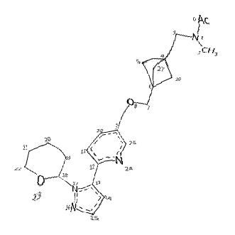 CC(=O)N(C)CC12CC(COc3ccc(-c4ccnn4C4CCCCO4)nc3)(C1)C2